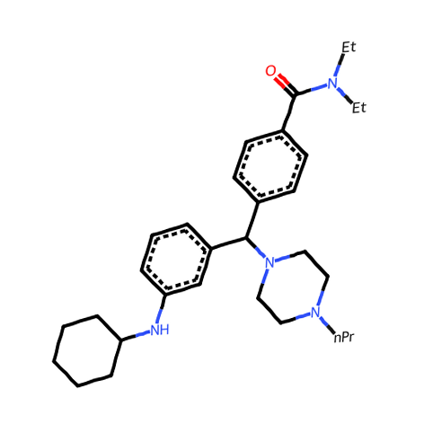 CCCN1CCN(C(c2ccc(C(=O)N(CC)CC)cc2)c2cccc(NC3CCCCC3)c2)CC1